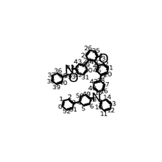 c1ccc(-c2ccc(N(c3ccccc3)c3ccc(-c4ccc5oc6cccc(-c7ccc8oc(-c9ccccc9)nc8c7)c6c5c4)cc3)cc2)cc1